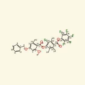 COc1cc(OCc2ccccc2)cc(C)c1C(=O)Oc1c(C)c(C)c(C(=O)Oc2c(F)c(F)c(F)c(F)c2F)c(C)c1F